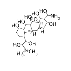 CN(C)C(O)C(O)C1CCC(O)C2C(O)C3C(O)[C@]4(O)C(O)C(C(N)O)C(O)C[C@@H]4C[C@@H]3CC12